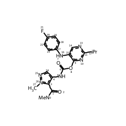 CNC(=O)c1c(NC(=O)Oc2nc(C(C)C)ncc2Nc2ccc(F)cc2)cnn1C